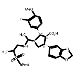 CCCCCS(=O)(=O)C(C)CNC(C)N1C[C@@H](c2ccc3c(c2)OCO3)[C@H](C(=O)O)[C@H]1c1ccc(OC)c(F)c1